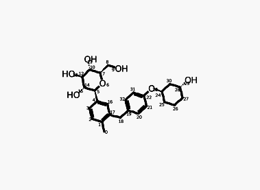 Cc1ccc([C@@H]2O[C@H](CO)[C@@H](O)[C@H](O)[C@H]2O)cc1Cc1ccc(O[C@@H]2CCC[C@@H](O)C2)cc1